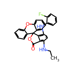 CCNc1ccc(Nc2ccccc2F)c2c1C(=O)OC21c2ccccc2Oc2ccccc21